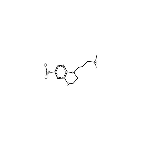 CN(C)CCCN1CCSc2cc([N+](=O)[O-])ccc21